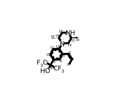 C/C=C\c1cc(C(O)(C(F)(F)F)C(F)(F)F)ccc1N1C[C@H](C)NC[C@H]1C